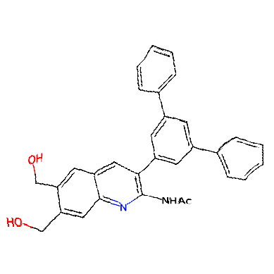 CC(=O)Nc1nc2cc(CO)c(CO)cc2cc1-c1cc(-c2ccccc2)cc(-c2ccccc2)c1